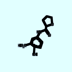 O=C(O)c1cc(NC(=O)C2CCCO2)ccc1O